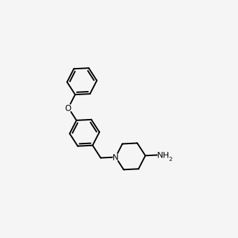 NC1CCN(Cc2ccc(Oc3ccccc3)cc2)CC1